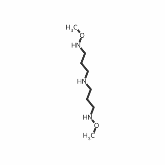 CONCCCNCCCNOC